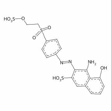 Nc1c(N=Nc2ccc(S(=O)(=O)CCOS(=O)(=O)O)cc2)c(S(=O)(=O)O)cc2cccc(O)c12